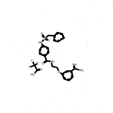 N=C(N)c1cccc(OCCNC(=O)c2ccc(NS(=O)(=O)Cc3ccccc3)cc2)c1.O=C(O)C(F)(F)F